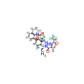 C[C@@H](NC(=O)C1(NC(=O)C(F)(F)F)CC1)c1ccc(-c2cccc3c2N(S(=O)(=O)C(F)(F)F)CCC3)cc1F